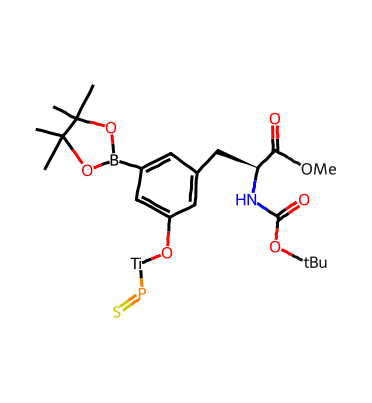 COC(=O)[C@H](Cc1cc([O][Ti][P]=S)cc(B2OC(C)(C)C(C)(C)O2)c1)NC(=O)OC(C)(C)C